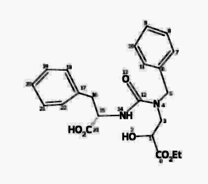 CCOC(=O)C(O)CN(Cc1ccccc1)C(=O)N[C@@H](Cc1ccccc1)C(=O)O